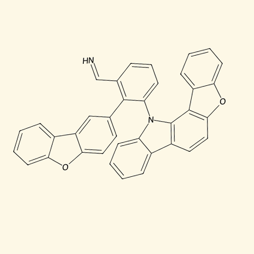 N=Cc1cccc(-n2c3ccccc3c3ccc4oc5ccccc5c4c32)c1-c1ccc2oc3ccccc3c2c1